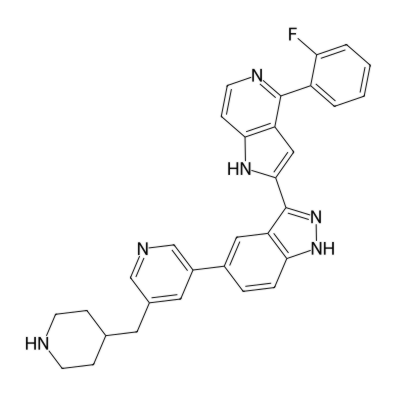 Fc1ccccc1-c1nccc2[nH]c(-c3n[nH]c4ccc(-c5cncc(CC6CCNCC6)c5)cc34)cc12